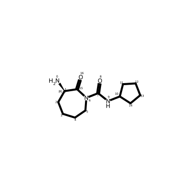 N[C@@H]1CCCCN(C(=O)NC2CCCC2)C1=O